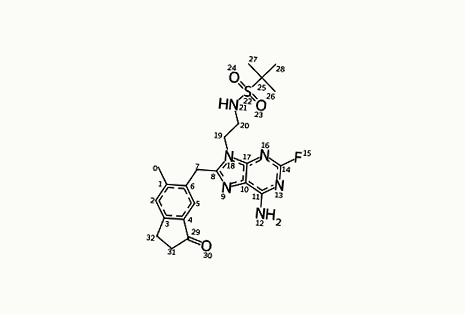 Cc1cc2c(cc1Cc1nc3c(N)nc(F)nc3n1CCNS(=O)(=O)C(C)(C)C)C(=O)CC2